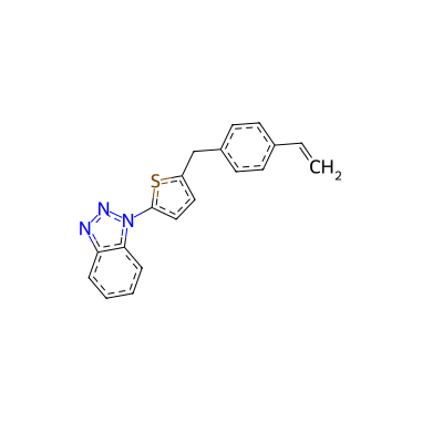 C=Cc1ccc(Cc2ccc(-n3nnc4ccccc43)s2)cc1